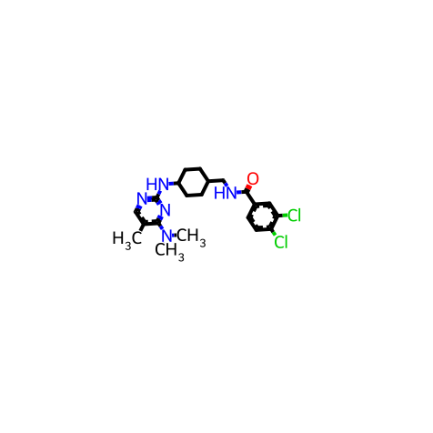 Cc1cnc(NC2CCC(CNC(=O)c3ccc(Cl)c(Cl)c3)CC2)nc1N(C)C